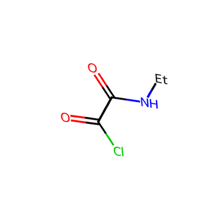 CCNC(=O)C(=O)Cl